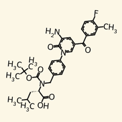 Cc1cc(C(=O)c2cc(N)c(=O)n(-c3ccc(CN(C(=O)OC(C)(C)C)[C@@H](CC(C)C)C(=O)O)cc3)c2)ccc1F